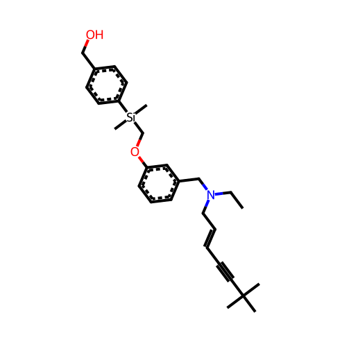 CCN(C/C=C/C#CC(C)(C)C)Cc1cccc(OC[Si](C)(C)c2ccc(CO)cc2)c1